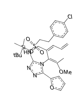 C=C/C=C(CO[Si](C)(C)C(C)(C)C)\C(=C(/C)OC)n1c(NS(=O)(=O)CCc2ccc(Cl)cc2)nnc1-c1ccco1